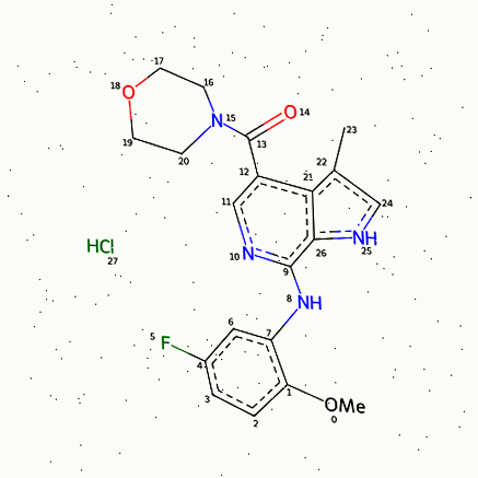 COc1ccc(F)cc1Nc1ncc(C(=O)N2CCOCC2)c2c(C)c[nH]c12.Cl